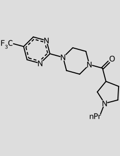 CCCN1CCC(C(=O)N2CCN(c3ncc(C(F)(F)F)cn3)CC2)C1